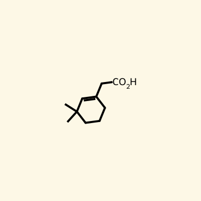 CC1(C)C=C(CC(=O)O)CCC1